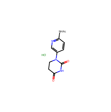 CC(=O)Nc1ccc(N2CCC(=O)NC2=O)cn1.Cl